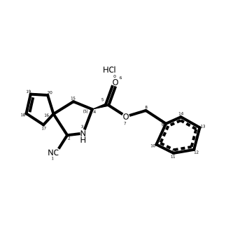 Cl.N#CC1N[C@H](C(=O)OCc2ccccc2)CC12CC=CC2